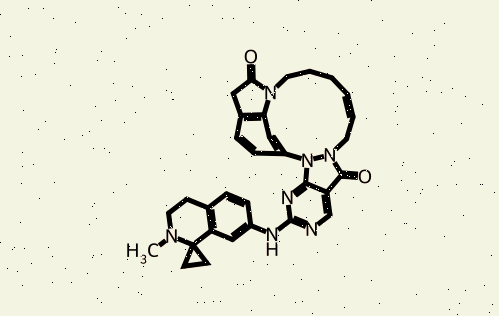 CN1CCc2ccc(Nc3ncc4c(=O)n5n(c4n3)-c3ccc4c(c3)N(CCC/C=C\C5)C(=O)C4)cc2C12CC2